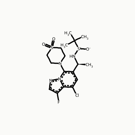 C[C@H](N[S+]([O-])C(C)(C)C)c1cc(Cl)c2c(F)cnn2c1N1CCS(=O)(=O)CC1